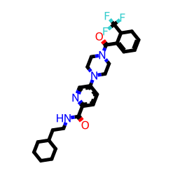 O=C(NCCC1CCCCC1)c1ccc(N2CCN(C(=O)C3=CC=CCC3C(F)(F)F)CC2)cn1